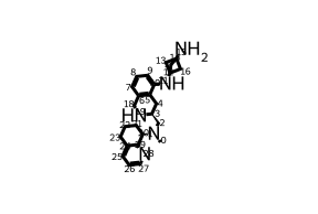 CN(C[C@@H]1Cc2c(cccc2NC23CC(N)(C2)C3)CN1)[C@H]1CCCc2cccnc21